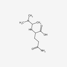 CC(NC(CCC(N)=O)C(=O)O)N(C)C